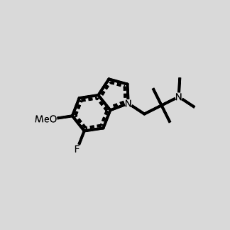 COc1cc2ccn(CC(C)(C)N(C)C)c2cc1F